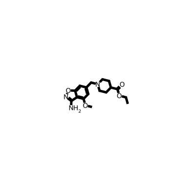 CCOC(=O)C1CCN(Cc2cc(OC)c3c(N)noc3c2)CC1